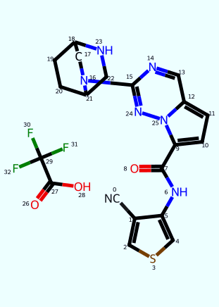 N#Cc1cscc1NC(=O)c1ccc2cnc(N3CC4CCC3CN4)nn12.O=C(O)C(F)(F)F